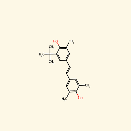 Cc1cc(C=Cc2cc(C)c(O)c(C(C)(C)C)c2)cc(C)c1O